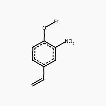 C=[C]c1ccc(OCC)c([N+](=O)[O-])c1